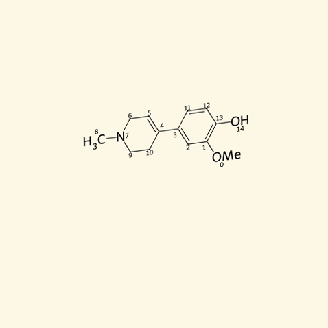 COc1cc(C2=CCN(C)CC2)ccc1O